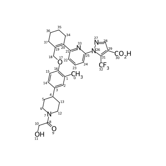 Cc1cc(C2CCN(C(=O)CO)CC2)ccc1OCC1=C(c2cccc(-n3ncc(C(=O)O)c3C(F)(F)F)n2)CCCC1